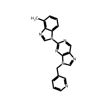 Cc1cccc2c1ncn2-c1ncc2ncn(Cc3cccnc3)c2n1